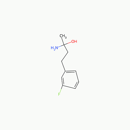 CC(N)(O)CCc1cccc(F)c1